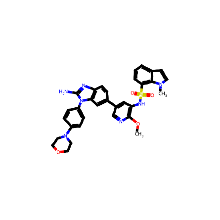 COc1ncc(-c2ccc3nc(N)n(-c4ccc(N5CCOCC5)cc4)c3c2)cc1NS(=O)(=O)c1cccc2ccn(C)c12